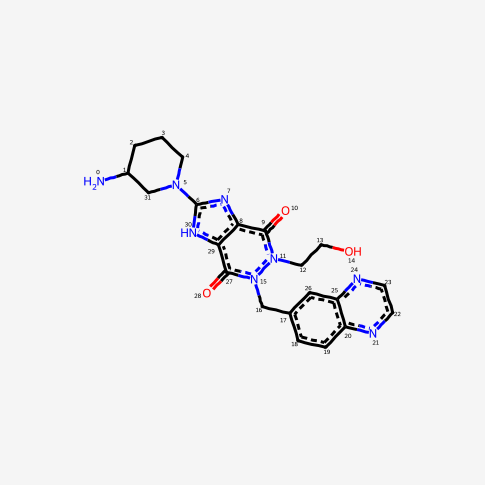 NC1CCCN(c2nc3c(=O)n(CCO)n(Cc4ccc5nccnc5c4)c(=O)c3[nH]2)C1